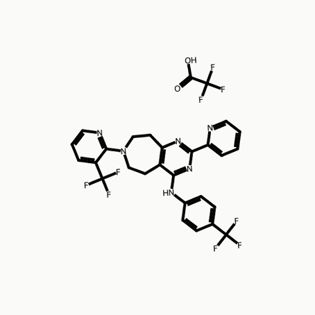 FC(F)(F)c1ccc(Nc2nc(-c3ccccn3)nc3c2CCN(c2ncccc2C(F)(F)F)CC3)cc1.O=C(O)C(F)(F)F